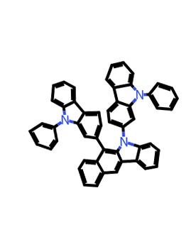 c1ccc(-n2c3ccccc3c3ccc(-c4c5ccccc5cc5c6ccccc6n(-c6ccc7c8ccccc8n(-c8ccccc8)c7c6)c45)cc32)cc1